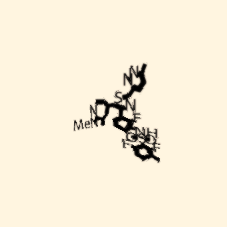 C=C1C=C(c2sc(-c3ccc(C)nn3)nc2-c2cccc(NS(=O)(=O)c3c(F)ccc(C)c3F)c2F)C=CN=C1NC